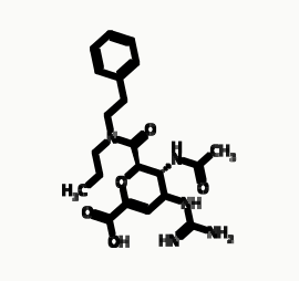 CCCN(CCc1ccccc1)C(=O)[C@@H]1OC(C(=O)O)=CC(NC(=N)N)[C@H]1NC(C)=O